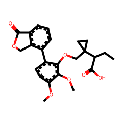 CCC(C(=O)O)C1(COc2c(-c3cccc4c3COC4=O)ccc(OC)c2OC)CC1